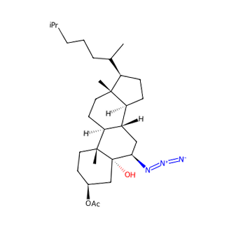 CC(=O)O[C@H]1CC[C@]2(C)[C@H]3CC[C@]4(C)[C@@H](C(C)CCCC(C)C)CC[C@H]4[C@@H]3C[C@@H](N=[N+]=[N-])[C@@]2(O)C1